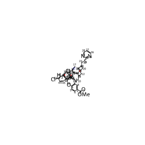 COC(=O)c1ccc2c(c1)N(C[C@@H]1CC[C@H]1[C@H](/C=C\[C@H]1CC[C@@H]1CSc1ncccn1)O[Si](C)(C)C(C)(C)C)C[C@@]1(CCCc3cc(Cl)ccc31)CO2